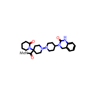 CNC(=O)C1(N2CCCCC2=O)CCN(N2CCC(N3Cc4ccccc4NC3=O)CC2)CC1